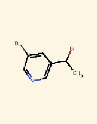 CC(Br)c1cncc(Br)c1